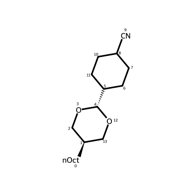 CCCCCCCC[C@H]1CO[C@H](C2CCC(C#N)CC2)OC1